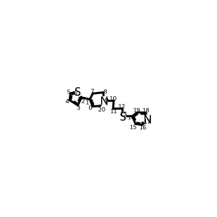 C1=C(c2cccs2)CCN(CCCSc2ccncc2)C1